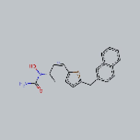 CC(/C=C\c1ccc(Cc2ccc3ccccc3c2)s1)N(O)C(N)=O